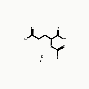 O=C(O)CCC(SC(=S)[S-])C(=O)[O-].[K+].[K+]